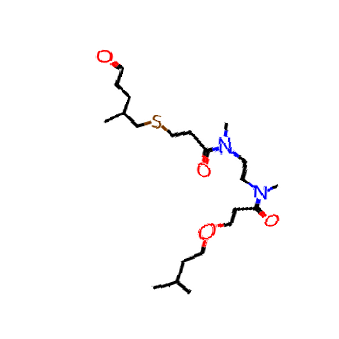 CC(C)CCOCCC(=O)N(C)CCN(C)C(=O)CCSCC(C)CCC=O